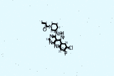 C=CC(=O)N1CCC[C@@H](Nc2ncnc(N)c2C(=N)C2C=CC(F)=C(Cl)C2)C1